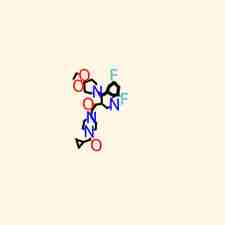 O=C(C1CC1)N1CCN(C2OC2C2CN=c3c(F)cc(F)cc3=C2N2CCC3(CC2)OCCO3)CC1